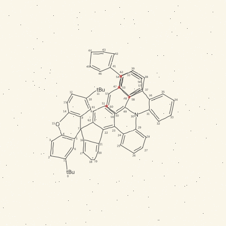 CC(C)(C)c1ccc2c(c1)C1(c3cc(C(C)(C)C)ccc3O2)c2ccccc2-c2c(-c3ccccc3N(c3ccccc3-c3ccc(-c4ccccc4)cc3)c3cccc4ccccc34)cccc21